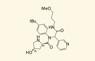 COCCCNC(=O)C(c1cccnc1)N(C(=O)[C@H]1C[C@@H](O)CN1)c1ccc(C(C)(C)C)cc1